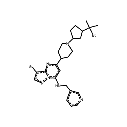 CCC(C)(C)C1CCC(N2CCC(c3cc(NCc4cccnc4)n4ncc(Br)c4n3)CC2)C1